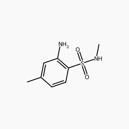 CNS(=O)(=O)c1ccc(C)cc1N